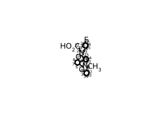 CC(NC(=O)c1ccccc1-c1ccccc1C(=O)N(CCC(=O)O)Cc1ccc(F)cc1)c1ccccc1